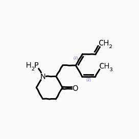 C=C/C=C(\C=C/C)CC1C(=O)CCCN1P